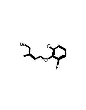 CC(=CCOc1c(F)cccc1F)CBr